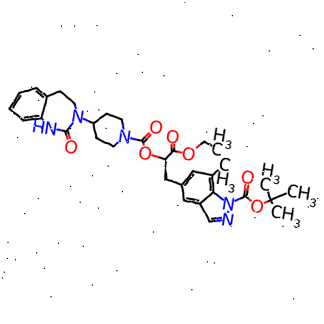 CCOC(=O)[C@@H](Cc1cc(C)c2c(cnn2C(=O)OC(C)(C)C)c1)OC(=O)N1CCC(N2CCc3ccccc3NC2=O)CC1